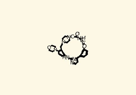 O=C1CN2CCN(CC2)Cc2cc(ccc2N2CCOCC2)Nc2nccc(n2)-c2cccc(c2)OCCN1